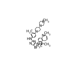 CC1=Nc2ccc(Nc3nc(Nc4ccc(N5CCC(N6CCN(C)CC6)CC5)c(C)c4)ncc3Br)c(P(C)C)c2CC=C1